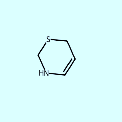 C1=CNCSC1